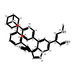 C#Cc1cccc(CN2C3CC2CN(c2ccc(-c4cc(/C(C=N)=C/NC)cn5ncc(C#N)c45)cn2)C3)n1